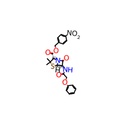 CC1(C)S[C@@H]2[C@H](NC(=O)COc3ccccc3)C(=O)N2[C@H]1C(=O)OCc1ccc([N+](=O)[O-])cc1